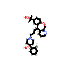 CC(C)(O)C1C=CC2=C(C1)/C(=C/CCN1CCC(O)(c3ccccc3Cl)CC1)c1cccnc1CO2